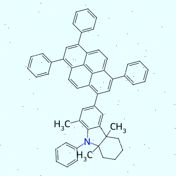 Cc1cc(-c2cc(-c3ccccc3)c3ccc4c(-c5ccccc5)cc(-c5ccccc5)c5ccc2c3c45)cc2c1N(c1ccccc1)C1(C)CCCCC21C